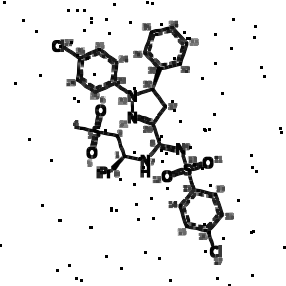 CC(C)[C@@H](CS(C)(=O)=O)N/C(=N\S(=O)(=O)c1ccc(Cl)cc1)C1=NN(c2ccc(Cl)cc2)[C@@H](c2ccccc2)C1